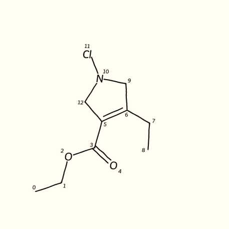 CCOC(=O)C1=C(CC)CN(Cl)C1